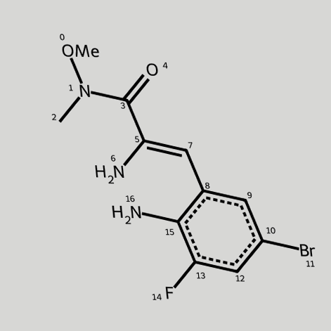 CON(C)C(=O)/C(N)=C/c1cc(Br)cc(F)c1N